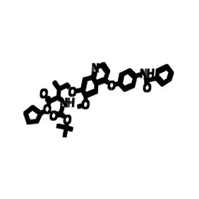 COc1cc2c(Oc3ccc(NC(=O)c4ccccc4)cc3)ccnc2cc1OCC(C)C(NC(=O)OC(C)(C)C)C(=O)OC1CCCC1